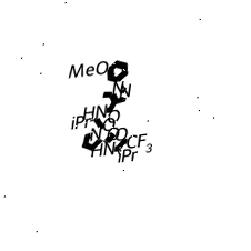 COc1cccc(-n2ncc(C(=O)N[C@H](C(=O)N3CCC[C@H]3C(=O)N[C@H](C(=O)C(F)(F)F)C(C)C)C(C)C)c2C)c1